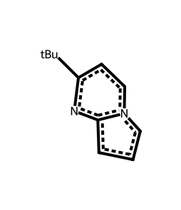 CC(C)(C)c1ccn2cccc2n1